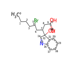 CCCCC(Br)CC(CC(=O)O)C1(O)C=Nc2ccccc21